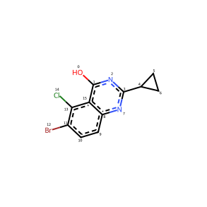 Oc1nc(C2CC2)nc2ccc(Br)c(Cl)c12